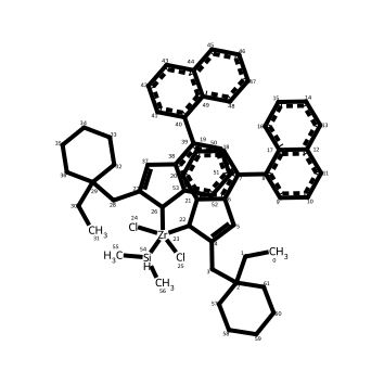 CCC1(CC2=Cc3c(-c4cccc5ccccc45)cccc3[CH]2[Zr]([Cl])([Cl])([CH]2C(CC3(CC)CCCCC3)=Cc3c(-c4cccc5ccccc45)cccc32)[SiH](C)C)CCCCC1